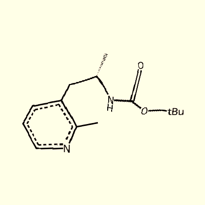 Cc1ncccc1C[C@H](C)NC(=O)OC(C)(C)C